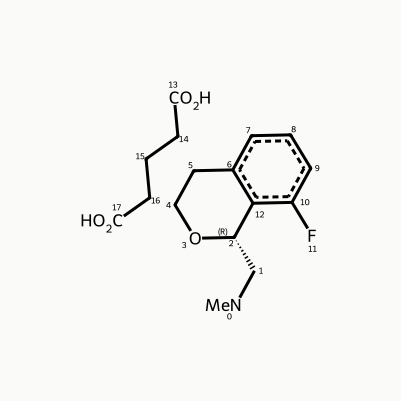 CNC[C@@H]1OCCc2cccc(F)c21.O=C(O)CCCC(=O)O